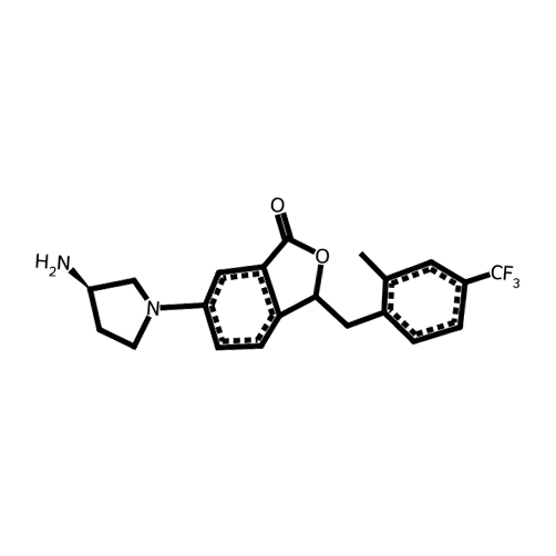 Cc1cc(C(F)(F)F)ccc1CC1OC(=O)c2cc(N3CC[C@@H](N)C3)ccc21